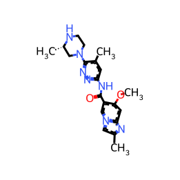 COc1cc2nc(C)cn2cc1C(=O)Nc1cc(C)c(N2CCN[C@@H](C)C2)nn1